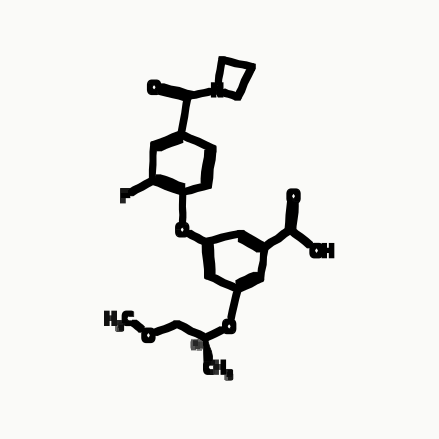 COC[C@H](C)Oc1cc(Oc2ccc(C(=O)N3CCC3)cc2F)cc(C(=O)O)c1